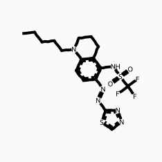 CCCCCN1CCCc2c1ccc(N=Nc1nncs1)c2NS(=O)(=O)C(F)(F)F